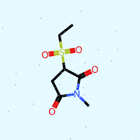 CCS(=O)(=O)C1CC(=O)N(C)C1=O